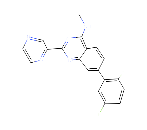 CNc1nc(-c2cnccn2)nc2cc(-c3cc(F)ccc3F)ccc12